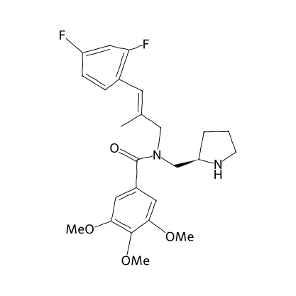 COc1cc(C(=O)N(C/C(C)=C/c2ccc(F)cc2F)C[C@H]2CCCN2)cc(OC)c1OC